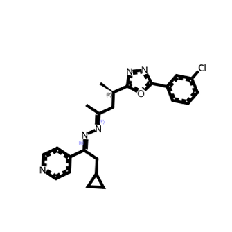 C/C(C[C@@H](C)c1nnc(-c2cccc(Cl)c2)o1)=N\N=C(/CC1CC1)c1ccncc1